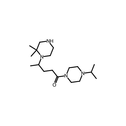 CC(C)N1CCN(C(=O)CCC(C)N2CCNCC2(C)C)CC1